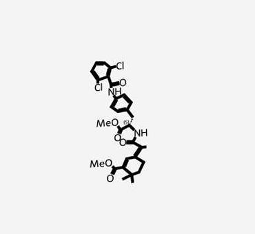 COC(=O)C1=CC(=C(C)C(=O)N[C@@H](Cc2ccc(NC(=O)c3c(Cl)cccc3Cl)cc2)C(=O)OC)CCC1(C)C